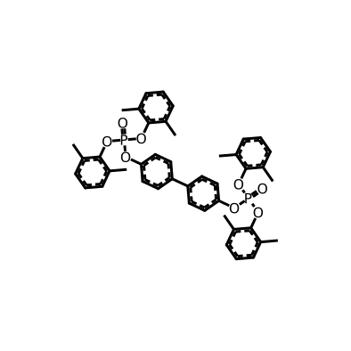 Cc1cccc(C)c1OP(=O)(Oc1ccc(-c2ccc(OP(=O)(Oc3c(C)cccc3C)Oc3c(C)cccc3C)cc2)cc1)Oc1c(C)cccc1C